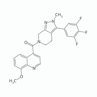 COc1cccc2c(C(=O)N3CCc4c(nn(C)c4-c4cc(F)c(F)c(F)c4)C3)ccnc12